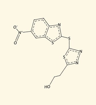 O=[N+]([O-])c1ccc2nc(Sc3nnc(CCO)s3)sc2c1